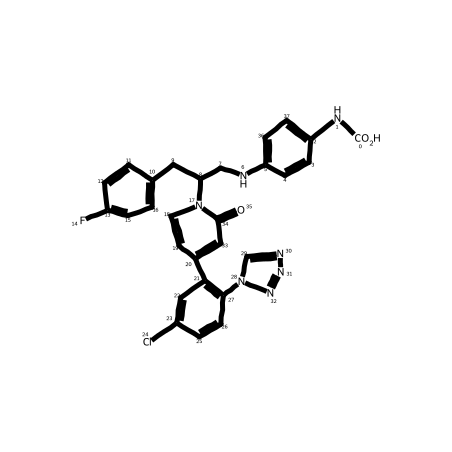 O=C(O)Nc1ccc(NCC(Cc2ccc(F)cc2)n2ccc(-c3cc(Cl)ccc3-n3cnnn3)cc2=O)cc1